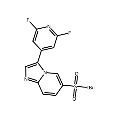 CC(C)(C)S(=O)(=O)c1ccc2ncc(-c3cc(F)nc(F)c3)n2c1